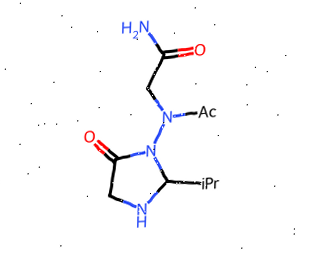 CC(=O)N(CC(N)=O)N1C(=O)CNC1C(C)C